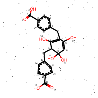 O=C(O)c1ccc(CC2=C(O)C(Cc3ccc(C(=O)O)cc3)C(O)(O)C=C2O)cc1